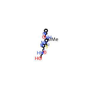 COc1cc(-c2csc3c(/C=C/C(=O)NCCCO)cnc(N)c23)ccc1NC(=O)c1cc2ccccc2n1C